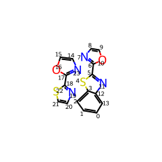 c1ccc2sc(-c3ncco3)nc2c1.c1coc(-c2nccs2)n1